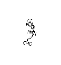 O=CCCCCCCc1ncc(-c2ccc3cc(C(F)(F)F)ncc3c2)[nH]1